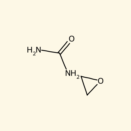 C1CO1.NC(N)=O